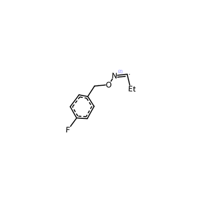 CC/[C]=N\OCc1ccc(F)cc1